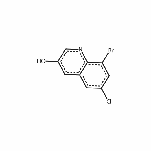 Oc1cnc2c(Br)cc(Cl)cc2c1